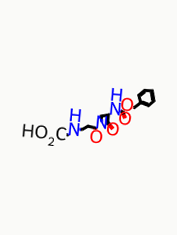 O=C(O)CNCCC(=O)N1C[C@H](NC(=O)OCc2ccccc2)C1=O